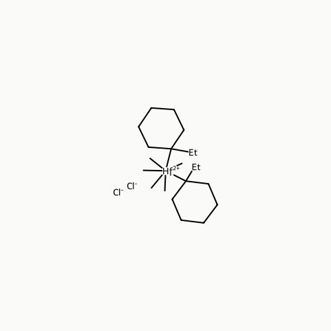 CC[C]1([Hf+2]([CH3])([CH3])([CH3])([CH3])([CH3])[C]2(CC)CCCCC2)CCCCC1.[Cl-].[Cl-]